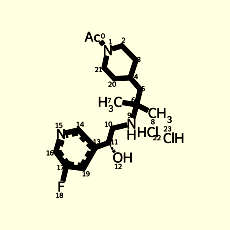 CC(=O)N1CCC(CC(C)(C)NC[C@H](O)c2cncc(F)c2)CC1.Cl.Cl